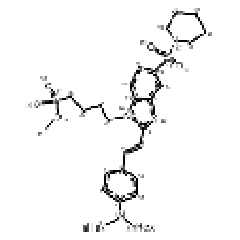 CCCCCCN(CCCCCC)c1ccc(C=Cc2sc3cc(S(=O)(=O)N4CCCCC4)ccc3[n+]2CCCCS(=O)(=O)OI)cc1